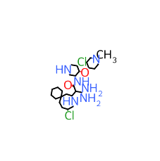 CN1CCC(OC2C(Cl)CNCC2NC(=O)C(C(N)N)C2CC3(CCCCC3)CCC(Cl)CN2)CC1